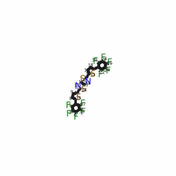 Fc1c(F)c(F)c(-c2ccc(-c3nc4sc(-c5ccc(-c6c(F)c(F)c(F)c(F)c6F)s5)nc4s3)s2)c(F)c1F